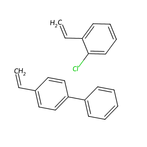 C=Cc1ccc(-c2ccccc2)cc1.C=Cc1ccccc1Cl